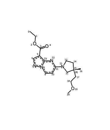 CCOC(=O)c1cnn2ccc(N3CC[C@](C)(CCOC)C3)nc12